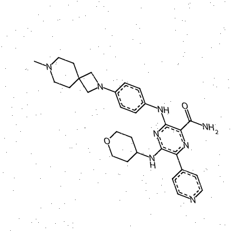 CN1CCC2(CC1)CN(c1ccc(Nc3nc(NC4CCOCC4)c(-c4ccncc4)nc3C(N)=O)cc1)C2